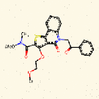 CCOCCOc1c(C(=O)N(C)OC)sc2c1c(=O)n(CC(=O)c1ccccc1)c1ccccc21